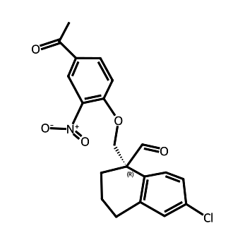 CC(=O)c1ccc(OC[C@@]2(C=O)CCCc3cc(Cl)ccc32)c([N+](=O)[O-])c1